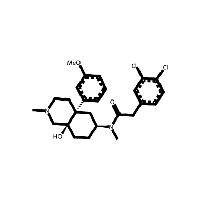 COc1cccc([C@@]23CCN(C)C[C@@]2(O)CC[C@H](N(C)C(=O)Cc2ccc(Cl)c(Cl)c2)C3)c1